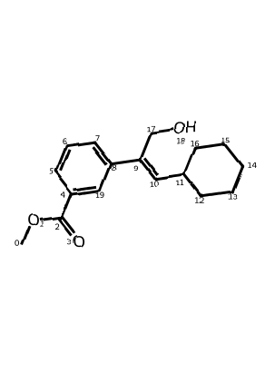 COC(=O)c1cccc(C(=CC2CCCCC2)CO)c1